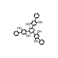 Oc1cc(-c2nc(-c3cc(O)c(-c4ccccc4)cc3O)nc(-c3cc(O)c(-c4ccccc4)cc3O)n2)c(O)cc1-c1ccccc1